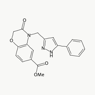 COC(=O)c1ccc2c(c1)N(Cc1cc(-c3ccccc3)[nH]n1)C(=O)CO2